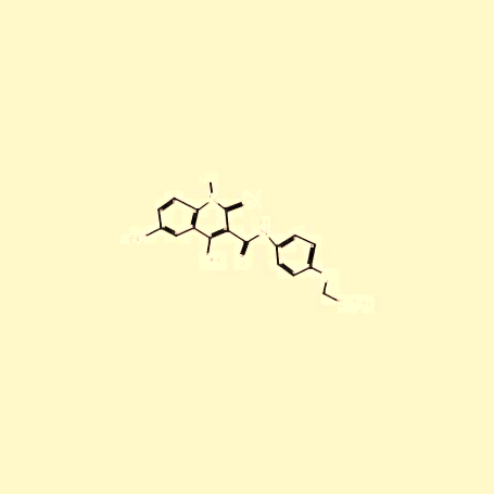 CCCCc1ccc2c(c1)c(O)c(C(=O)Nc1ccc(OCC(=O)O)cc1)c(=O)n2C